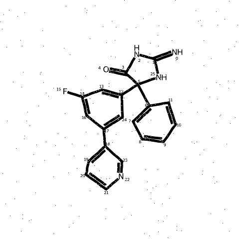 N=C1NC(=O)C(c2ccccc2)(c2cc(F)cc(-c3cccnc3)c2)N1